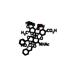 C=C[C@@H]1CC(C(=O)O)C[C@@H](O[C@@H]2O[C@H]3COC(c4ccccc4)O[C@@H]3C(O[C@@H](CC3CCCCC3)C(=O)O)C2NC(C)=O)C1OC1O[C@@H](C)C(OCCCC)[C@H](OCCCC)[C@@H]1OCCCC